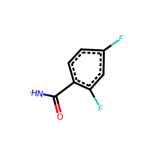 [NH]C(=O)c1ccc(F)cc1F